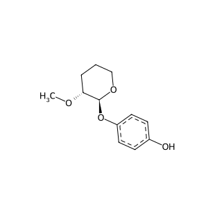 CO[C@@H]1CCCO[C@H]1Oc1ccc(O)cc1